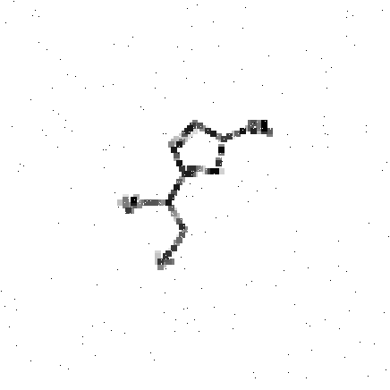 CCC(C)C1=[C]C(C)C=C1